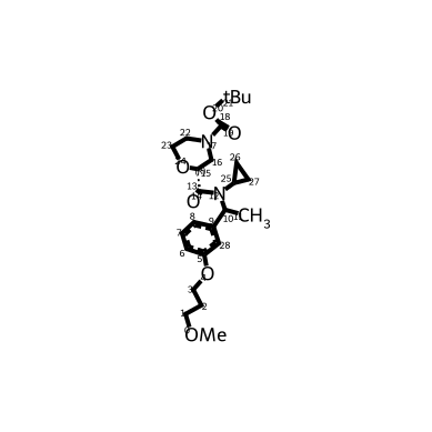 COCCCOc1cccc(C(C)N(C(=O)[C@H]2CN(C(=O)OC(C)(C)C)CCO2)C2CC2)c1